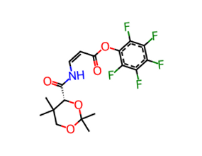 CC1(C)OCC(C)(C)[C@H](C(=O)N/C=C\C(=O)Oc2c(F)c(F)c(F)c(F)c2F)O1